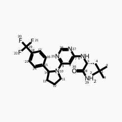 CC(C)(C)C[C@@H](Nc1cc(N2CCCC2c2ccc(C(F)(F)F)cc2)ncn1)C(N)=O